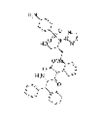 COC(=O)N(C(=O)[C@@H](N)C(c1ccccc1)c1ccccc1)c1ccccc1CC[C@@H](CO)N(n1nccn1)S(=O)(=O)c1ccc(N)cc1